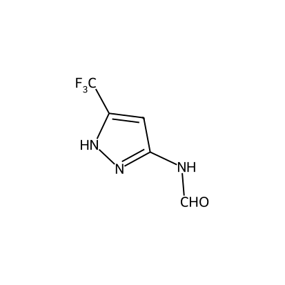 O=CNc1cc(C(F)(F)F)[nH]n1